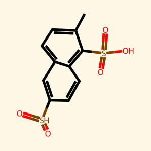 Cc1ccc2cc([SH](=O)=O)ccc2c1S(=O)(=O)O